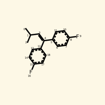 CC(C)C=C(c1ccc(F)cc1)c1ccc(F)cc1